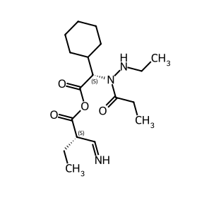 CCNN(C(=O)CC)[C@H](C(=O)OC(=O)[C@H](C=N)CC)C1CCCCC1